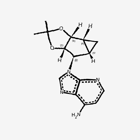 CC1(C)O[C@@H]2[C@@H]3C[C@@H]3[C@@H](n3cnc4c(N)ccnc43)[C@@H]2O1